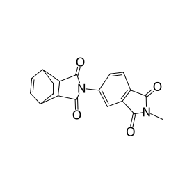 CN1C(=O)c2ccc(N3C(=O)C4C5C=CC(CC5)C4C3=O)cc2C1=O